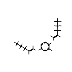 O=S(=O)(O)c1cc(OC(F)=C(F)C(F)(F)C(F)(F)C(F)(F)C(F)(F)F)ccc1OC(F)=C(F)C(F)(F)C(F)(F)C(F)(F)C(F)(F)F